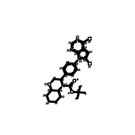 CC(C)(C)OC(=O)N1C(c2ccc(-n3c(Cl)cc4c(Cl)ncnc43)cc2)COC2CCCCC21